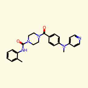 Cc1ccccc1NC(=O)N1CCN(C(=O)c2ccc(N(C)c3ccncc3)cc2)CC1